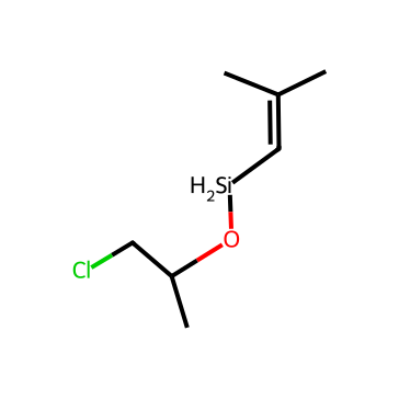 CC(C)=C[SiH2]OC(C)CCl